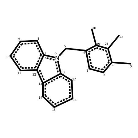 Cc1ccc(Cn2c3ccccc3c3ccccc32)c(C)c1C